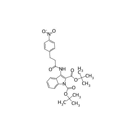 CC(C)(C)OC(=O)c1c(NC(=O)CCc2ccc([N+](=O)[O-])cc2)c2ccccc2n1C(=O)OC(C)(C)C